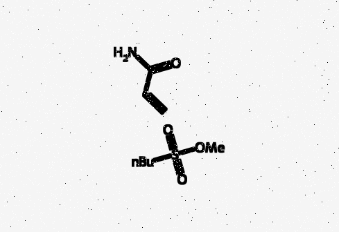 C=CC(N)=O.CCCCS(=O)(=O)OC